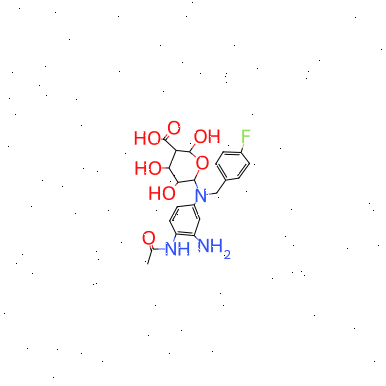 CC(=O)Nc1ccc(N(Cc2ccc(F)cc2)C2OC(O)C(C(=O)O)C(O)C2O)cc1N